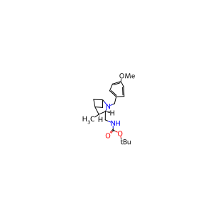 COc1ccc(CN2C3CC(C3)[C@H](C)[C@H]2CNC(=O)OC(C)(C)C)cc1